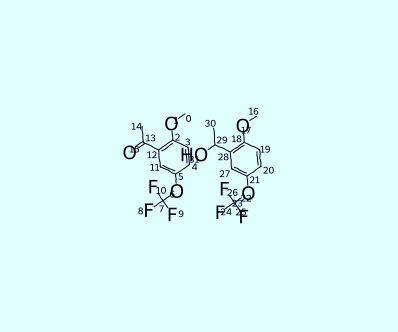 COc1ccc(OC(F)(F)F)cc1C(C)=O.COc1ccc(OC(F)(F)F)cc1C(C)O